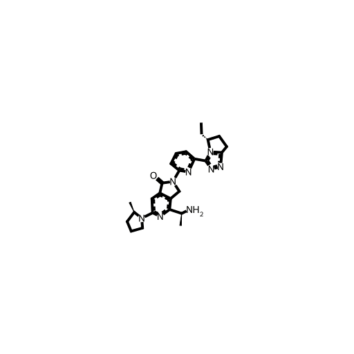 CC[C@@H]1CCc2nnc(-c3cccc(N4Cc5c(cc(N6CCC[C@H]6C)nc5[C@H](C)N)C4=O)n3)n21